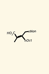 CCCCCCCCCC/C(CCCCCCCC)=C(/C)C(=O)O